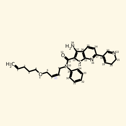 C=CCCCOC/C=C\CN(C(=O)c1sc2nc(C3=CCCN=C3)ccc2c1N)c1ccccc1